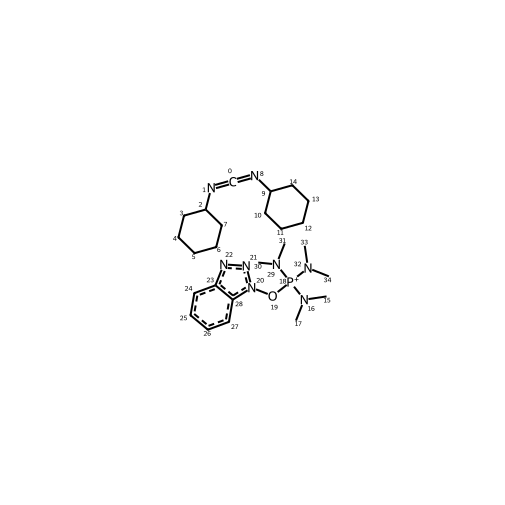 C(=NC1CCCCC1)=NC1CCCCC1.CN(C)[P+](On1nnc2ccccc21)(N(C)C)N(C)C